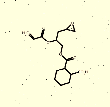 C=CC(=O)OC(COC(=O)C1CCCCC1C(=O)O)CC1CO1